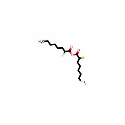 CCCCCCC(F)C(=O)OC(=O)C(F)CCCCCC